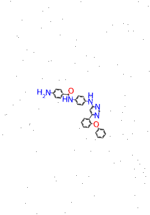 Nc1ccc(C(=O)Nc2ccc(Nc3cc(-c4ccccc4Oc4ccccc4)ncn3)cc2)cc1